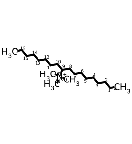 CCCCCCCCCC(CCCCCCCC)[N+](C)(C)C